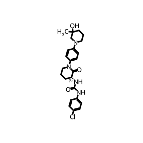 CC1(O)CCCN(c2ccc(N3CCC[C@@H](NC(=O)Nc4ccc(Cl)cc4)C3=O)cc2)C1